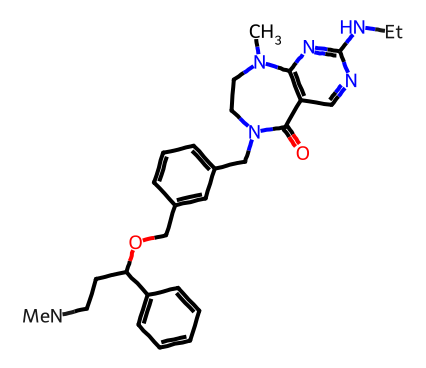 CCNc1ncc2c(n1)N(C)CCN(Cc1cccc(COC(CCNC)c3ccccc3)c1)C2=O